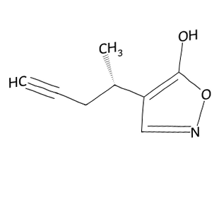 C#CC[C@H](C)c1cnoc1O